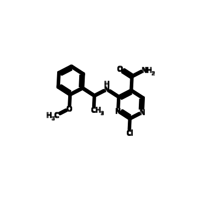 COc1ccccc1C(C)Nc1nc(Cl)ncc1C(N)=O